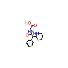 O=C(O)CNC(=O)C(c1ccccc1)C1CCCCN1